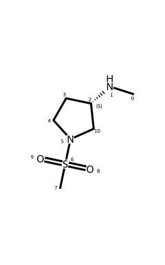 CN[C@H]1CCN(S(C)(=O)=O)C1